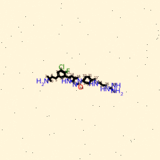 CC(C)(N)CCc1cc(Cl)c(F)c(-c2cc3cn(-c4ccc(CNCCCNC(=N)N)cc4)c(=O)nc3[nH]2)c1